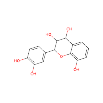 Oc1ccc(C2Oc3c(O)cccc3C(O)C2O)cc1O